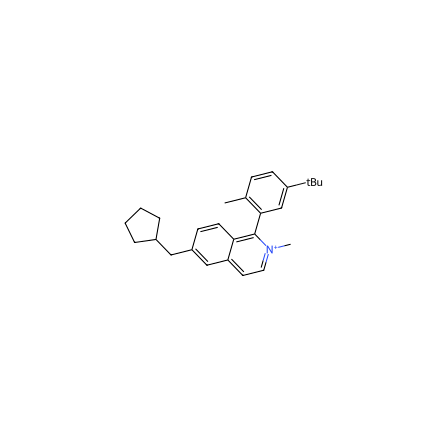 Cc1ccc(C(C)(C)C)cc1-c1c2ccc(CC3CCCC3)cc2cc[n+]1C